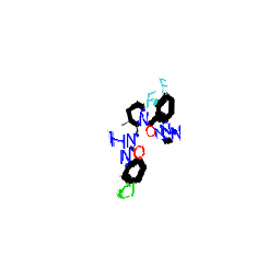 C[C@@H]1CCCN(C(=O)c2c(-n3nccn3)ccc(F)c2F)[C@@H]1CNc1nc2cc(Cl)ccc2o1